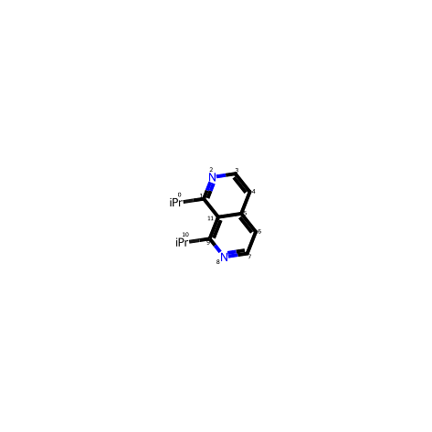 CC(C)c1nccc2ccnc(C(C)C)c12